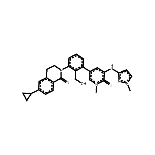 Cn1ccc(Nc2cc(-c3cccc(N4CCc5cc(C6CC6)ccc5C4=O)c3CO)cn(C)c2=O)n1